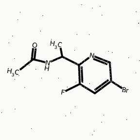 CC(=O)NC(C)c1ncc(Br)cc1F